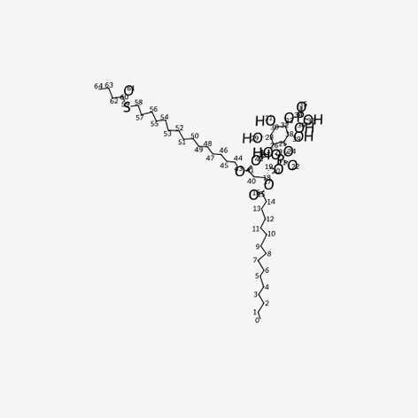 CCCCCCCCCCCCCCCC(=O)O[C@@H](COP(=O)(O)OC1C(O)[C@H](O)C(O)[C@H](OP(=O)(O)O)[C@@H]1O)CC(=O)OCCCCCCCCCCCCCCCSC(=O)CCC